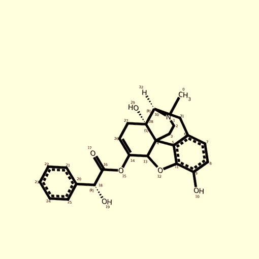 CN1CCC23c4c5ccc(O)c4OC2C(OC(=O)[C@H](O)c2ccccc2)=CC[C@@]3(O)[C@H]1C5